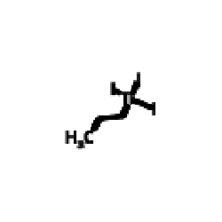 CC[CH2][Ti]([I])([I])[I]